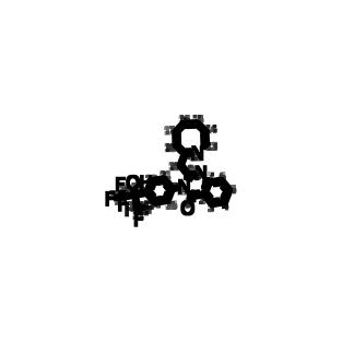 O=c1c2ccccc2nc(CC2=N/C=C\C=C/C=C\2)n1-c1ccc(C(O)(C(F)(F)F)C(F)(F)F)cc1